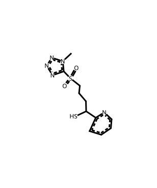 Cn1nnnc1S(=O)(=O)CCCC(S)c1ccccn1